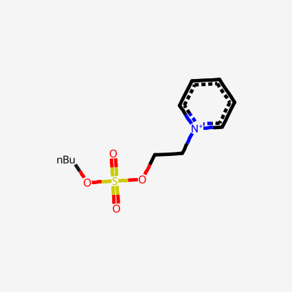 CCCCOS(=O)(=O)OCC[n+]1ccccc1